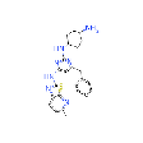 Cc1ccc2nc(Nc3cc(Cc4ccccc4)nc(N[C@H]4CC[C@H](N)CC4)n3)sc2n1